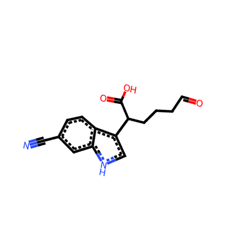 N#Cc1ccc2c(C(CCCC=O)C(=O)O)c[nH]c2c1